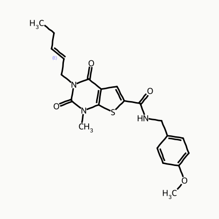 CC/C=C/Cn1c(=O)c2cc(C(=O)NCc3ccc(OC)cc3)sc2n(C)c1=O